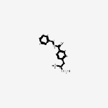 CCOC(=O)C(N)Cc1ccc(C(=O)OCc2ccccc2)cc1